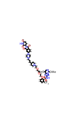 COc1cnc(OC)n2nc(NS(=O)(=O)c3c(OCCOCCOCCN4CCC(CCCN5CCN(c6ccc7c(c6)C(=O)N(C6CCC(=O)NC6=O)C7=O)CC5)CC4)cccc3C(F)(F)F)nc12